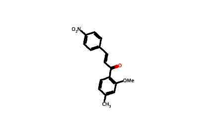 COc1cc(C)ccc1C(=O)/C=C/c1ccc([N+](=O)[O-])cc1